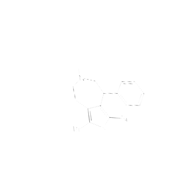 Brc1sc(Br)c2c1CCNCC2c1ccccc1